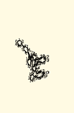 c1ccc(-c2ccc(-n3c4ccccc4c4c3ccc3c5ccccc5n(-c5ccc6c7ccccc7c7ccccc7c6c5)c34)cc2)cc1